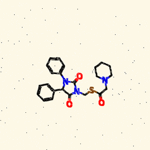 O=C(CN1CCCCC1)SCN1C(=O)C(c2ccccc2)N(c2ccccc2)C1=O